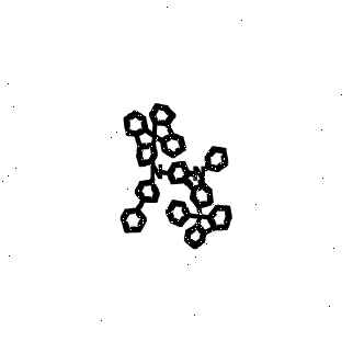 c1ccc(-c2ccc(N(c3ccc4c(c3)C3(c5ccccc5-c5ccccc53)c3ccccc3-4)c3ccc4c(c3)c3cc(C5(c6ccccc6)c6ccccc6-c6ccccc65)ccc3n4-c3ccccc3)cc2)cc1